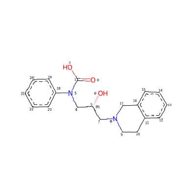 O=C(O)N(C[C@H](O)CN1CCc2ccccc2C1)c1ccccc1